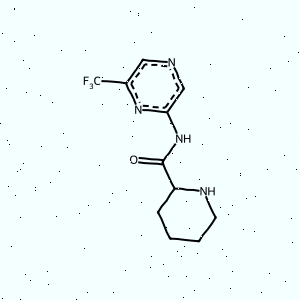 O=C(Nc1cncc(C(F)(F)F)n1)C1CCCCN1